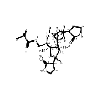 C=C(C)C(=O)OC[C@H]1O[C@@H]2OC(C)(C3CCOC3=O)O[C@@H]2[C@H]2OC(C)(C3CCOC3=O)C[C@H]21